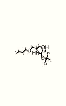 CCCCOC[C@@H](CO)NC(=O)OC(C)(C)C